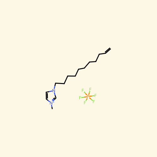 C=CCCCCCCCCCn1cc[n+](C)c1.F[P-](F)(F)(F)(F)F